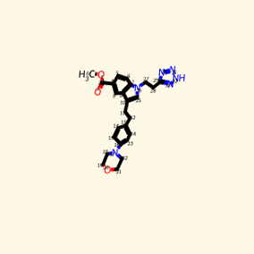 COC(=O)c1ccc2c(c1)c(CCc1ccc(N3CCOCC3)cc1)cn2CCc1nn[nH]n1